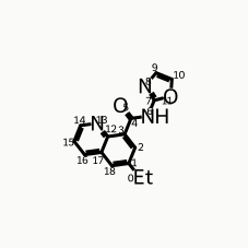 CCc1cc(C(=O)Nc2ncco2)c2ncccc2c1